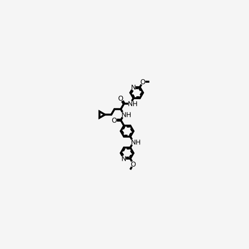 COc1ccc(NC(=O)C(CCC2CC2)NC(=O)c2ccc(Nc3ccnc(OC)c3)cc2)cn1